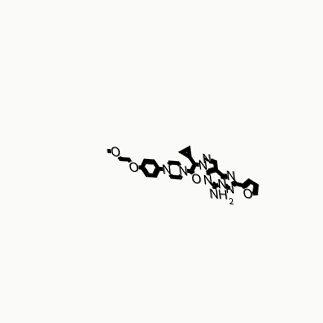 COCCOc1ccc(N2CCN(C(=O)C(C3CC3)n3ncc4c3nc(N)n3nc(-c5ccco5)nc43)CC2)cc1